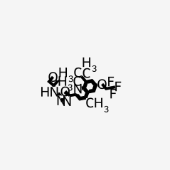 Cc1cc(-c2nnc(NC3COC3)o2)nc2c(C(C)(C)C)cc(OCC(F)(F)F)cc12